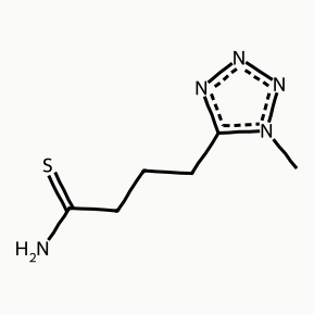 Cn1nnnc1CCCC(N)=S